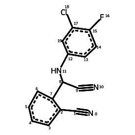 N#Cc1ccccc1C(C#N)Nc1ccc(F)c(Cl)c1